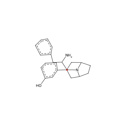 NC(Cc1ccccc1)CN1C2CCC1CC(c1cccc(O)c1)C2